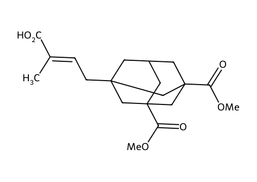 COC(=O)C12CC3CC(CC=C(C)C(=O)O)(C1)CC(C(=O)OC)(C3)C2